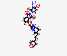 O=C1CCC(N2C(=O)c3cccc(OCc4cn5cc(CCCC6CCOCC6)ccc5n4)c3C2=O)C(=O)N1